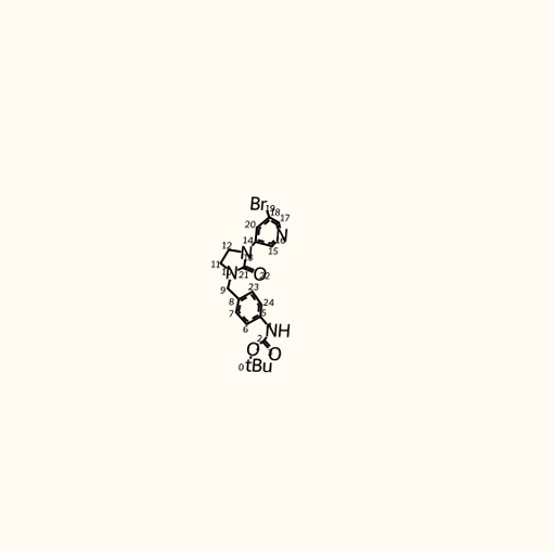 CC(C)(C)OC(=O)Nc1ccc(CN2CCN(c3cncc(Br)c3)C2=O)cc1